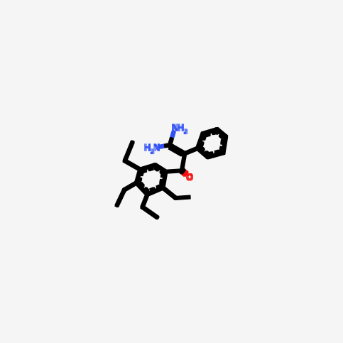 CCc1cc(C(=O)C(=C(N)N)c2ccccc2)c(CC)c(CC)c1CC